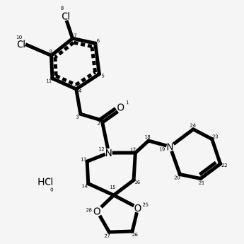 Cl.O=C(Cc1ccc(Cl)c(Cl)c1)N1CCC2(CC1CN1CC=CCC1)OCCO2